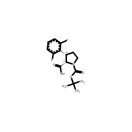 CC(C)(C)OC(=O)N1CC[C@@H](c2c(F)cccc2F)[C@H]1C(=O)O